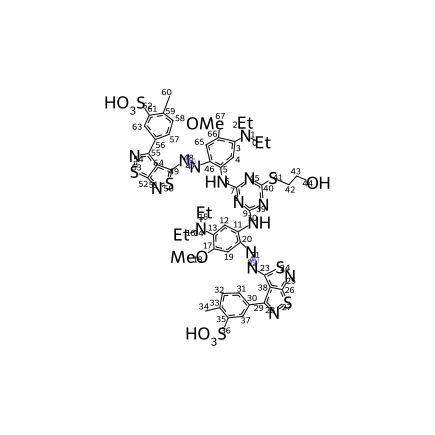 CCN(CC)c1cc(Nc2nc(Nc3cc(N(CC)CC)c(OC)cc3/N=N/c3snc4snc(-c5ccc(C)c(S(=O)(=O)O)c5)c34)nc(SCCO)n2)c(/N=N/c2snc3snc(-c4ccc(C)c(S(=O)(=O)O)c4)c23)cc1OC